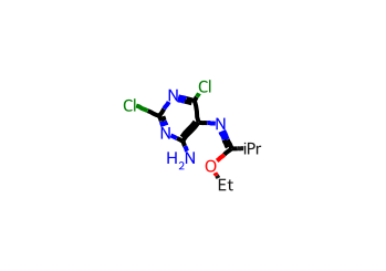 CCOC(=Nc1c(N)nc(Cl)nc1Cl)C(C)C